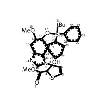 COC(=O)C1SC=CC1(O)n1cnc2cc(OC)c(O[Si](c3ccccc3)(c3ccccc3)C(C)(C)C)cc21